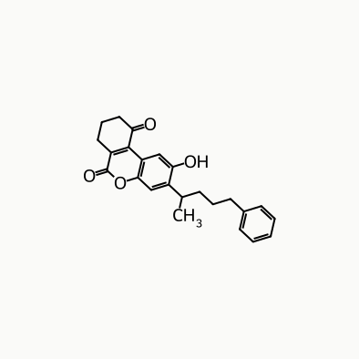 CC(CCCc1ccccc1)c1cc2oc(=O)c3c(c2cc1O)C(=O)CCC3